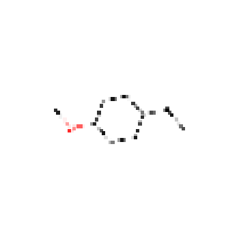 C[CH]C1CCC(OC)CC1